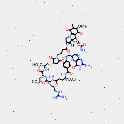 COC1=C(C)C(=O)C2=C(C1=O)[C@H](COC(N)=O)[C@]1(OC)[C@H]3C(CN21)N3C(=O)CCCN1C(=O)CC(SC[C@@H](NC(=O)[C@@H](CC(=O)O)NC(=O)[C@@H](CCCNC(=N)N)NC(=O)CC[C@@H](NC(=O)c2ccc(NCc3cnc4nc(N)[nH]c(=O)c4n3)cc2)C(=O)O)C(=O)O)C1=O